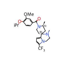 COc1cc(C(=O)N2CC[C@@]3(C[C@@H]2C)c2ccc(C(F)(F)F)n2CCN3C)ccc1OC(C)C